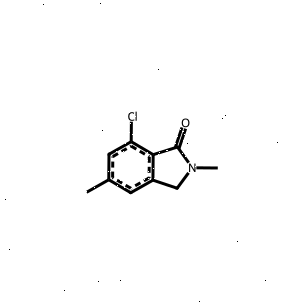 Cc1cc(Cl)c2c(c1)CN(C)C2=O